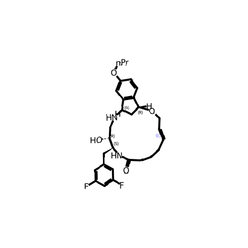 CCCOc1ccc2c(c1)[C@@H]1C[C@H]2OC/C=C/CCCC(=O)N[C@@H](Cc2cc(F)cc(F)c2)[C@H](O)CN1